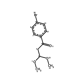 COC(CC(=O)c1ccc(Br)cc1)OC